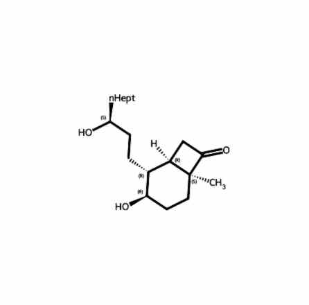 CCCCCCC[C@H](O)CC[C@H]1[C@H](O)CC[C@]2(C)C(=O)C[C@H]12